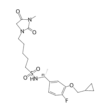 C[C@@H](NS(=O)(=O)CCCCCN1CC(=O)N(C)C1=O)c1ccc(F)c(OCC2CC2)c1